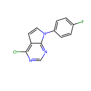 Fc1ccc(-n2ccc3c(Cl)ncnc32)cc1